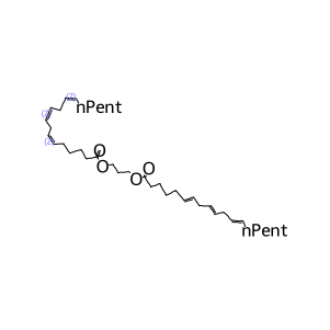 CCCCCC=CCC=CCC=CCCCCC(=O)OCCCOC(=O)CCCC/C=C\C/C=C\C/C=C\CCCCC